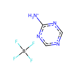 F[B-](F)(F)F.[NH3+]c1ncncn1